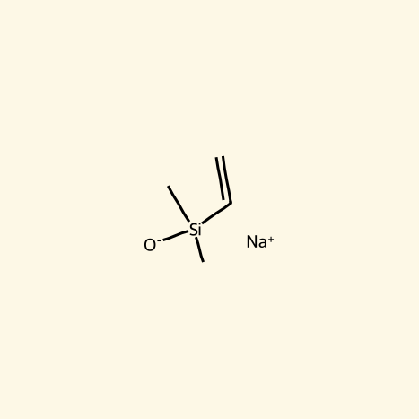 C=C[Si](C)(C)[O-].[Na+]